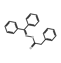 O=C(Cc1ccccc1)ON=C(c1ccccc1)c1ccccc1